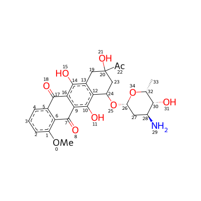 COc1cccc2c1C(=O)c1c(O)c3c(c(O)c1C2=O)CC(O)(C(C)=O)CC3O[C@H]1C[C@H](N)[C@@H](O)[C@@H](C)O1